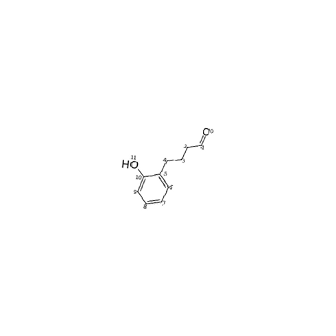 O=[C]CCCc1ccccc1O